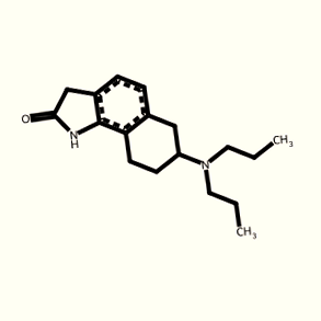 CCCN(CCC)C1CCc2c(ccc3c2NC(=O)C3)C1